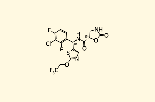 O=C1NC[C@@H](C(=O)N[C@@H](c2cnc(OCC(F)(F)F)s2)c2ccc(F)c(Cl)c2F)O1